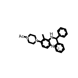 CC(=O)N1CCN(c2ccc([N+](=O)[O-])c(NC(c3ccccc3)c3ccccc3)c2C)CC1